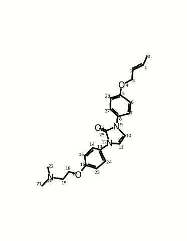 C/C=C/COc1ccc(-n2ccn(-c3ccc(OCCN(C)C)cc3)c2=O)cc1